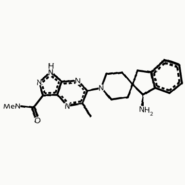 CNC(=O)c1n[nH]c2nc(N3CCC4(CC3)Cc3ccccc3[C@H]4N)c(C)nc12